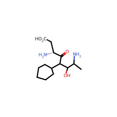 CC(N)C(O)C(C(=O)[C@H](N)CC(=O)O)C1CCCCC1